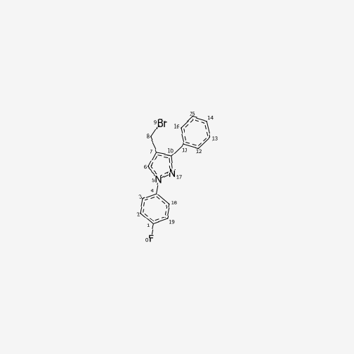 Fc1ccc(-n2cc(CBr)c(-c3ccccc3)n2)cc1